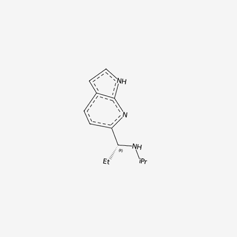 CC[C@@H](NC(C)C)c1ccc2cc[nH]c2n1